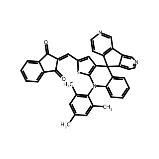 Cc1cc(C)c(N2c3ccccc3C3(c4ccncc4-c4cnccc43)c3cc(C=C4C(=O)c5ccccc5C4=O)sc32)c(C)c1